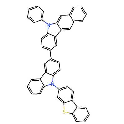 c1ccc(-n2c3ccc(-c4ccc5c(c4)c4ccccc4n5-c4ccc5c(c4)sc4ccccc45)cc3c3cc4ccccc4cc32)cc1